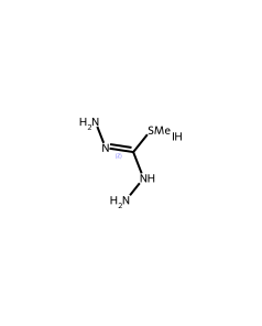 CS/C(=N\N)NN.I